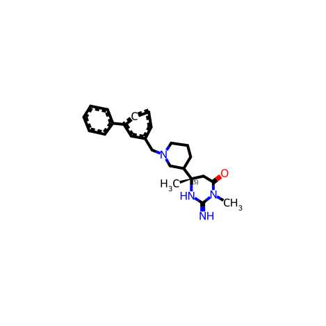 CN1C(=N)N[C@](C)(C2CCCN(Cc3cccc(-c4ccccc4)c3)C2)CC1=O